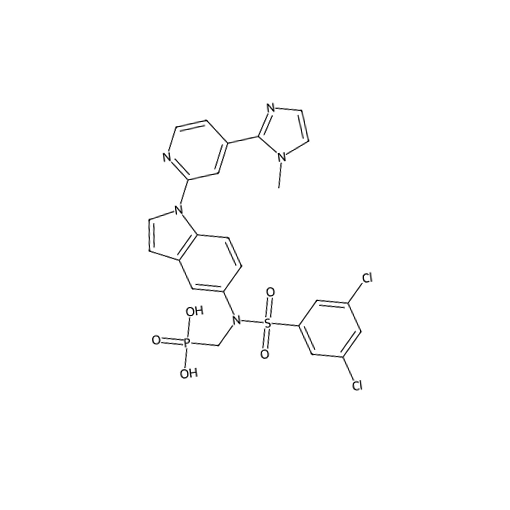 Cn1ccnc1-c1ccnc(-n2ccc3cc(N(CP(=O)(O)O)S(=O)(=O)c4cc(Cl)cc(Cl)c4)ccc32)c1